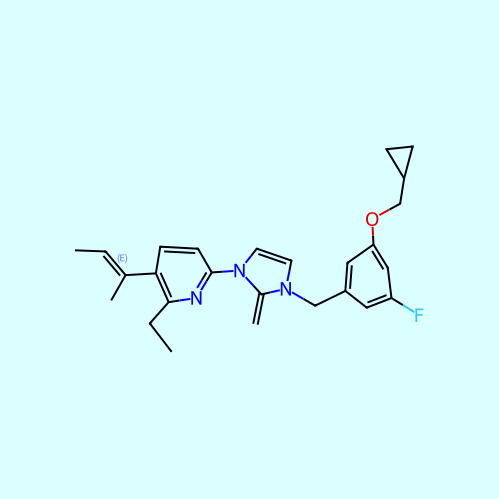 C=C1N(Cc2cc(F)cc(OCC3CC3)c2)C=CN1c1ccc(/C(C)=C/C)c(CC)n1